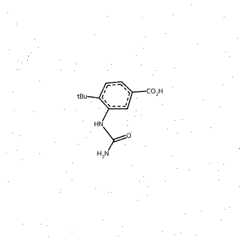 CC(C)(C)c1ccc(C(=O)O)cc1NC(N)=O